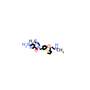 CNCC[C@H](Oc1ccc(CN2CCN(C)c3cc(N)ncc3C2=O)cc1)c1cccs1